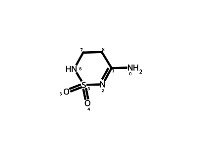 NC1=NS(=O)(=O)NCC1